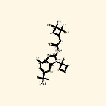 CC(C)(O)c1cc(F)c2nc(NC(=O)CC3CC(F)(F)C3(F)F)n(C3(C)CCC3)c2c1